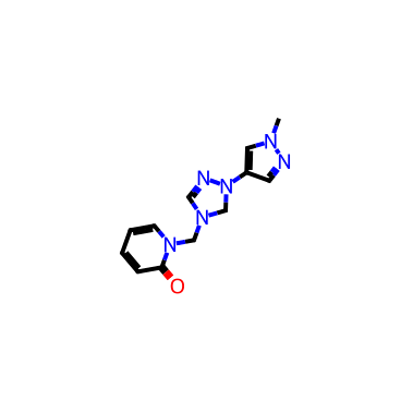 Cn1cc(N2CN(Cn3ccccc3=O)C=N2)cn1